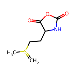 C=S(C)CCC1NC(=O)OC1=O